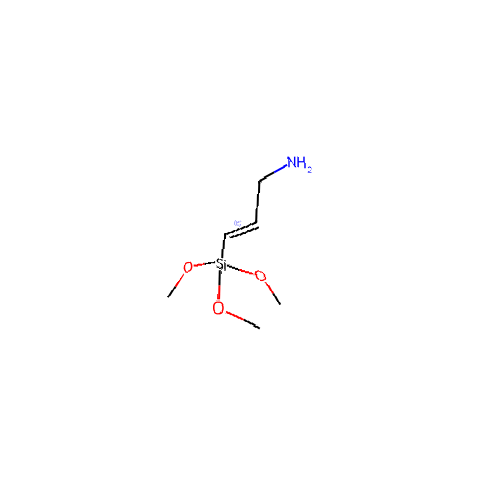 CO[Si](/C=C/CN)(OC)OC